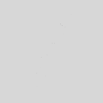 CC(=O)CCC(C)(C)OCCOCCNC=O